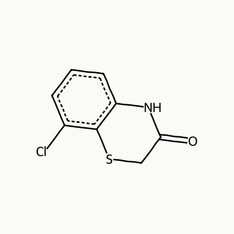 O=C1CSc2c(Cl)cccc2N1